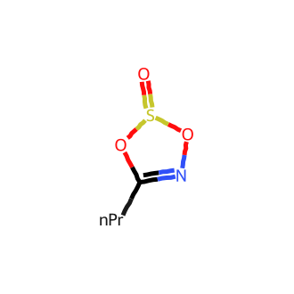 CCCC1=NOS(=O)O1